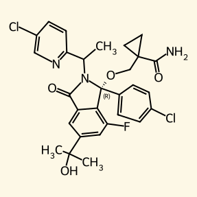 CC(c1ccc(Cl)cn1)N1C(=O)c2cc(C(C)(C)O)cc(F)c2[C@]1(OCC1(C(N)=O)CC1)c1ccc(Cl)cc1